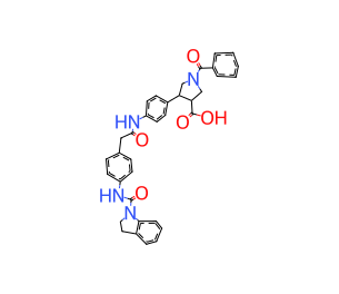 O=C(Cc1ccc(NC(=O)N2CCc3ccccc32)cc1)Nc1ccc(C2CN(C(=O)c3ccccc3)CC2C(=O)O)cc1